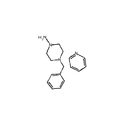 NN1CCN(Cc2ccccc2)CC1.c1ccncc1